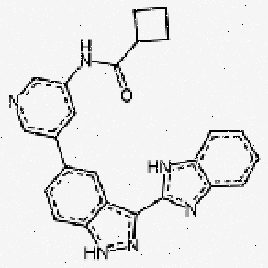 O=C(Nc1cncc(-c2ccc3[nH]nc(-c4nc5ccccc5[nH]4)c3c2)c1)C1CCC1